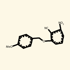 COc1ccc(COc2cccc([N+](=O)[O-])c2C#N)cc1